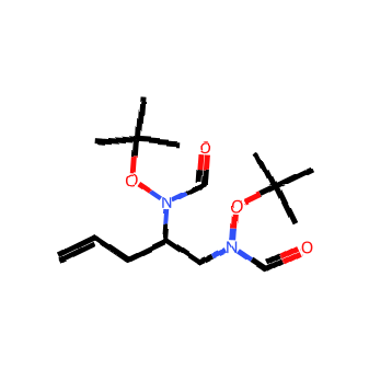 C=CCC(CN(C=O)OC(C)(C)C)N(C=O)OC(C)(C)C